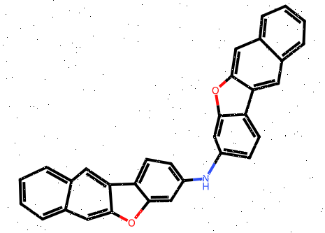 c1ccc2cc3c(cc2c1)oc1cc(Nc2ccc4c(c2)oc2cc5ccccc5cc24)ccc13